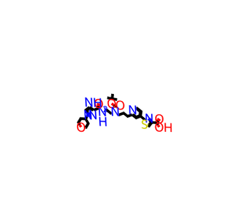 CC(C)(C)OC(=O)N(CCCc1cc(-c2nc(C(=O)O)cs2)ccn1)CCNC(=O)c1nn(C2CCOCC2)cc1N